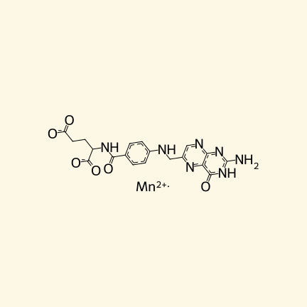 Nc1nc2ncc(CNc3ccc(C(=O)NC(CCC(=O)[O-])C(=O)[O-])cc3)nc2c(=O)[nH]1.[Mn+2]